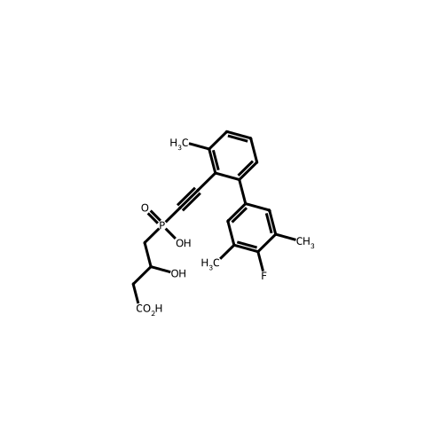 Cc1cc(-c2cccc(C)c2C#CP(=O)(O)CC(O)CC(=O)O)cc(C)c1F